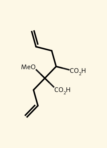 C=CCC(C(=O)O)C(CC=C)(OC)C(=O)O